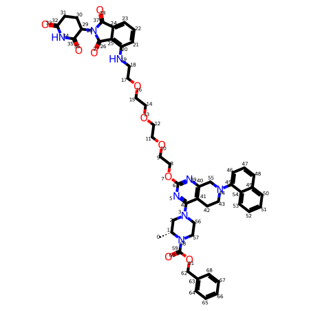 C[C@@H]1CN(c2nc(OCCOCCOCCOCCNc3cccc4c3C(=O)N(C3CCC(=O)NC3=O)C4=O)nc3c2CCN(c2cccc4ccccc24)C3)CCN1C(=O)OCc1ccccc1